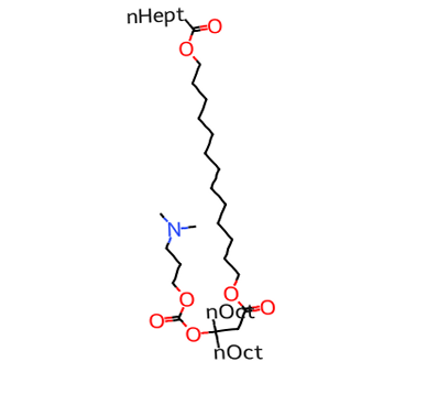 CCCCCCCCC(CCCCCCCC)(CC(=O)OCCCCCCCCCCCCCOC(=O)CCCCCCC)OC(=O)OCCCN(C)C